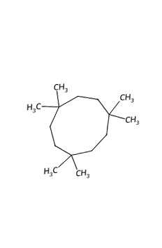 CC1(C)CCC(C)(C)CCC(C)(C)CC1